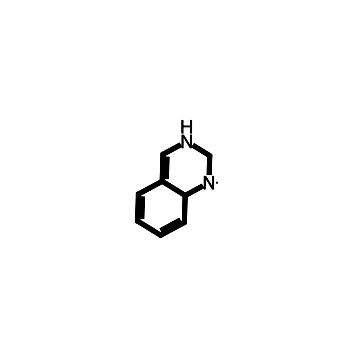 C1=CC2=CNC[N]C2C=C1